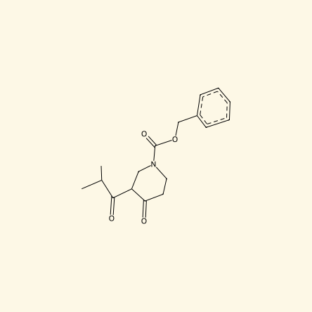 CC(C)C(=O)C1CN(C(=O)OCc2ccccc2)CCC1=O